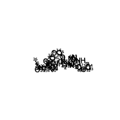 C=CC(Oc1cccc(Oc2ccc(-n3c(=O)n([C@@H]4CCN(C(=O)C#CC)C4)c4ncnc(N)c43)cc2)c1)N1CCC[C@@H](n2nc(-c3ccc(Oc4ccccc4)cc3)c3c(N)ncnc32)C1